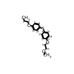 CCCOc1ccc(Sc2ccc(OCCOC)cc2)cc1